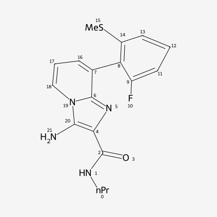 CCCNC(=O)c1nc2c(-c3c(F)cccc3SC)cccn2c1N